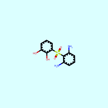 Nc1cccc(N)c1S(=O)(=O)c1cccc(O)c1O